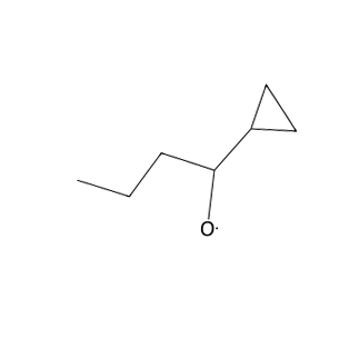 CCCC([O])C1CC1